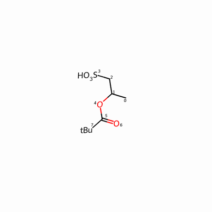 CC(CS(=O)(=O)O)OC(=O)C(C)(C)C